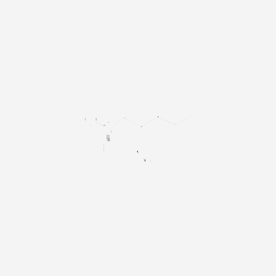 CCCCCS(=O)[O-].[Na+]